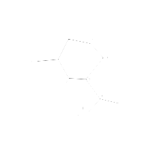 CC1CCCC(C(C)S(=O)(=O)O)C1